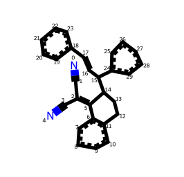 N#CC(C#N)=C1c2ccccc2CCC1C(C=Cc1ccccc1)c1ccccc1